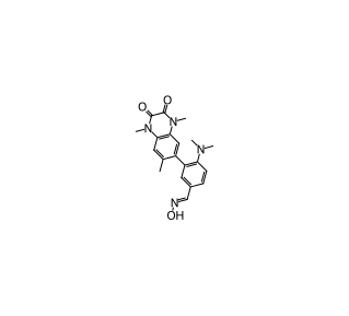 Cc1cc2c(cc1-c1cc(C=NO)ccc1N(C)C)n(C)c(=O)c(=O)n2C